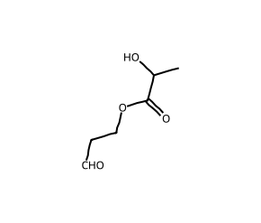 CC(O)C(=O)OCCC=O